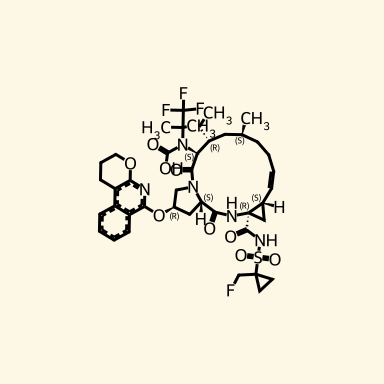 CC[C@@H]1C[C@@H](C)CCC=C[C@@H]2C[C@@]2(C(=O)NS(=O)(=O)C2(CF)CC2)NC(=O)[C@@H]2C[C@@H](Oc3nc4c(c5ccccc35)CCCO4)CN2C(=O)[C@H]1N(C(=O)O)C(C)(C)C(F)(F)F